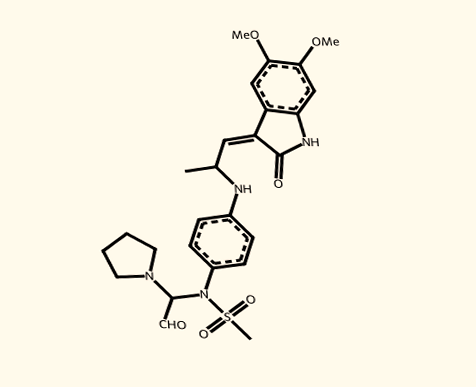 COc1cc2c(cc1OC)C(=CC(C)Nc1ccc(N(C(C=O)N3CCCC3)S(C)(=O)=O)cc1)C(=O)N2